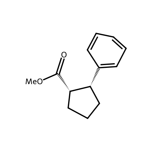 COC(=O)[C@H]1CCC[C@H]1c1ccccc1